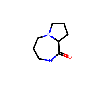 O=C1[N]CCCN2CCCC12